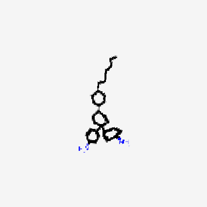 CCCCCC[C@H]1CC[C@H](C2CCC(c3ccc(N)cc3)(c3ccc(N)cc3)CC2)CC1